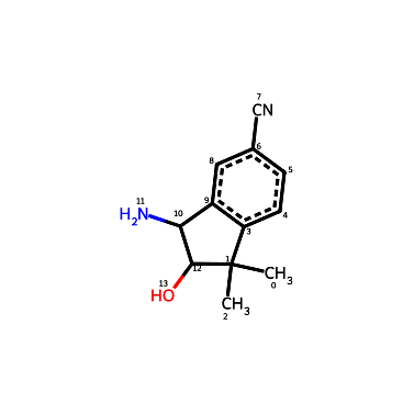 CC1(C)c2ccc(C#N)cc2C(N)C1O